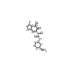 Cc1csc2nc(C(=O)NCc3cccc(N)c3)[nH]c(=O)c12